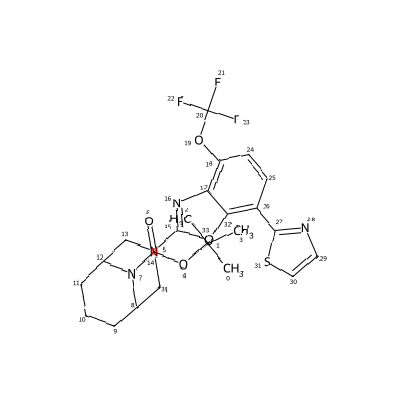 CC(C)(C)OC(=O)N1C2CCCC1CN(c1nc3c(OC(F)(F)F)ccc(-c4nccs4)c3o1)C2